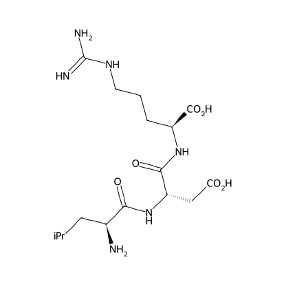 CC(C)C[C@H](N)C(=O)N[C@@H](CC(=O)O)C(=O)N[C@@H](CCCNC(=N)N)C(=O)O